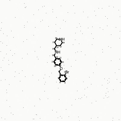 Brc1ccccc1COc1ccc(CNCC2CCNCC2)cc1